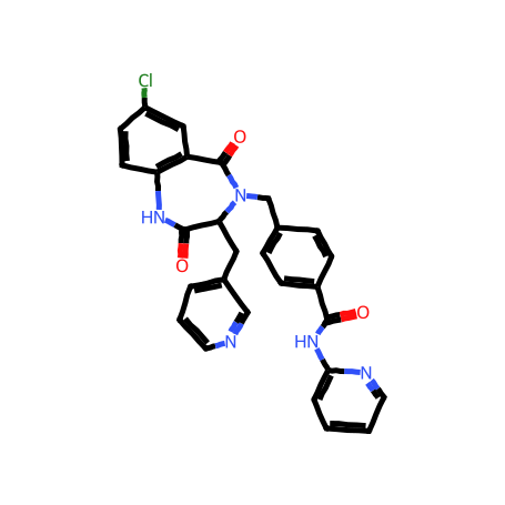 O=C(Nc1ccccn1)c1ccc(CN2C(=O)c3cc(Cl)ccc3NC(=O)C2Cc2cccnc2)cc1